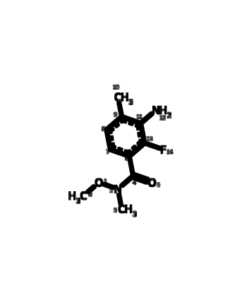 CON(C)C(=O)c1ccc(C)c(N)c1F